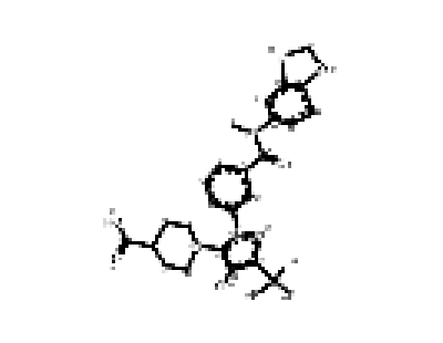 CN(C(=O)c1cccc(-n2nc(C(F)(F)F)c(Cl)c2N2CCC(C(=O)O)CC2)c1)c1ccc2c(c1)OCO2